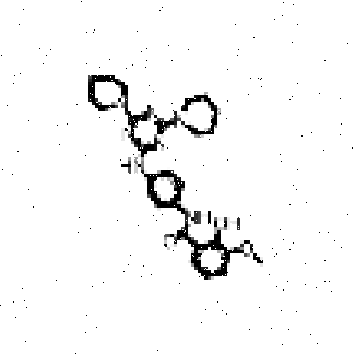 COc1cccc(C(=O)Nc2ccc(Nc3nc(N4CCCCC4)nc(N4CCCCC4)n3)cc2)c1O